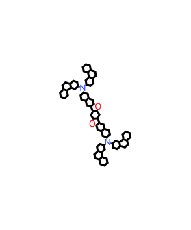 c1ccc2c(c1)ccc1ccc(N(c3ccc4cc5c(cc4c3)oc3cc4c(cc35)oc3cc5cc(N(c6ccc7ccc8ccccc8c7c6)c6ccc7ccc8ccccc8c7c6)ccc5cc34)c3ccc4ccc5ccccc5c4c3)cc12